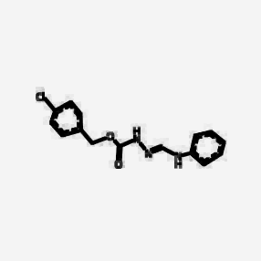 O=C(NN=CNc1ccccc1)OCc1ccc(Cl)cc1